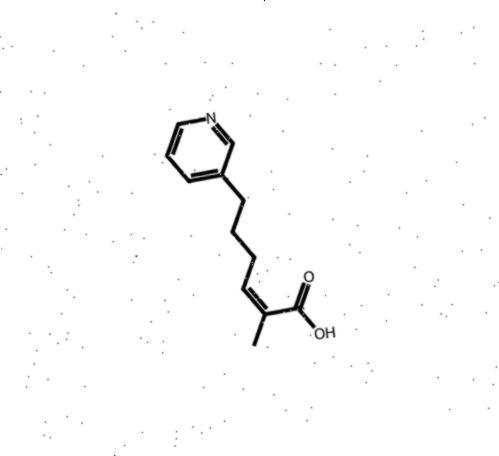 CC(=CCCCc1cccnc1)C(=O)O